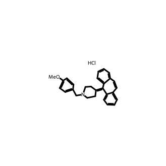 COc1ccc(CN2CCC(=C3c4ccccc4C=Cc4ccccc43)CC2)cc1.Cl